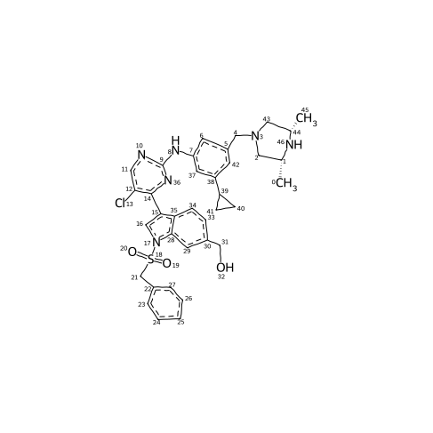 C[C@@H]1CN(Cc2cc(Nc3ncc(Cl)c(-c4cn(S(=O)(=O)Cc5ccccc5)c5cc(CO)ccc45)n3)cc(C3CC3)c2)C[C@H](C)N1